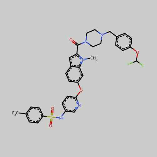 Cn1c(C(=O)N2CCN(Cc3ccc(OC(F)F)cc3)CC2)cc2ccc(Oc3ccc(NS(=O)(=O)c4ccc(C(F)(F)F)cc4)cn3)cc21